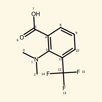 CN(C)c1c(C(=O)O)cccc1C(F)(F)F